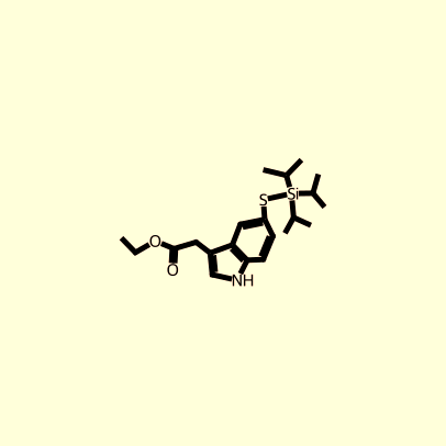 CCOC(=O)Cc1c[nH]c2ccc(S[Si](C(C)C)(C(C)C)C(C)C)cc12